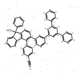 CC1(c2ccccc2)c2ccccc2-c2c1ccc(-c1cccc(-c3cc(-c4ccccc4)nc(-c4ccccc4)n3)c1)c2-c1ccc(C#N)cc1